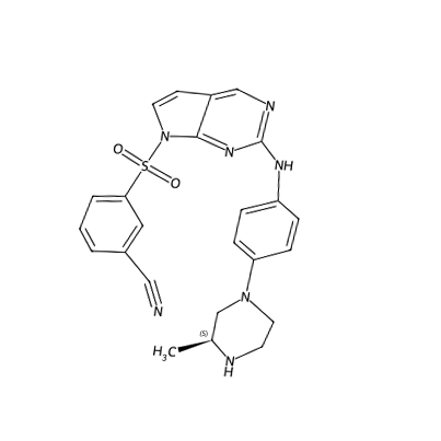 C[C@H]1CN(c2ccc(Nc3ncc4ccn(S(=O)(=O)c5cccc(C#N)c5)c4n3)cc2)CCN1